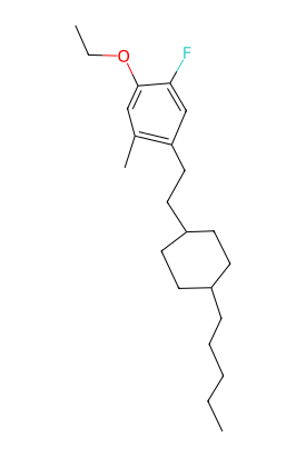 CCCCCC1CCC(CCc2cc(F)c(OCC)cc2C)CC1